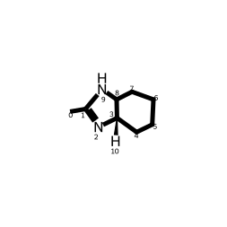 CC1=N[C@H]2CCCCC2N1